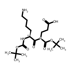 CC(C)(C)OC(=O)N[C@@H](CCCCN)C(=O)N(CCC(=O)O)C(=O)OC(C)(C)C